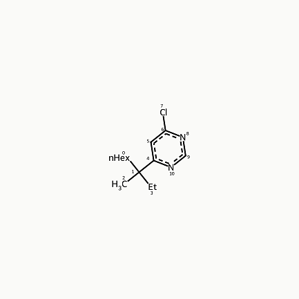 CCCCCCC(C)(CC)c1cc(Cl)ncn1